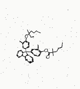 CCCCC(C)(CC)Oc1ccc(C2(c3ccc(OC(=O)C(C)(C)CCCC)c(C)c3)c3ccccc3-c3ccccc32)cc1C